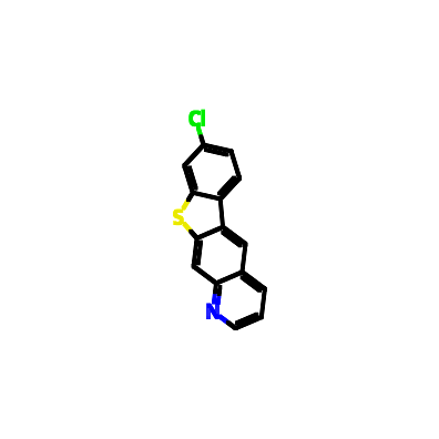 Clc1ccc2c(c1)sc1cc3ncccc3cc12